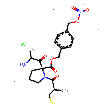 CC(N)C(=O)[C@]1(C(=O)OCc2ccc(CO[N+](=O)[O-])cc2)CCCN1C(=O)C(C)CS.Cl